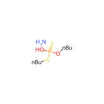 CCCCOP(O)(=S)SCCCC.N